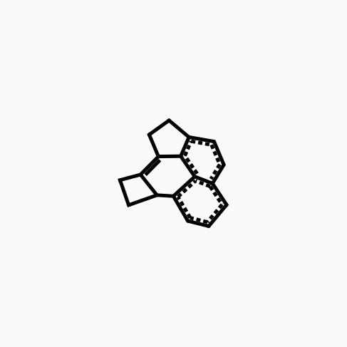 c1cc2c3c4c(ccc3c1)CCC4=C1CCC12